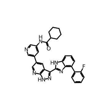 O=C(Nc1cncc(-c2cnc3[nH]nc(-c4nc5c(-c6ccccc6F)cccc5[nH]4)c3c2)c1)C1CCCCC1